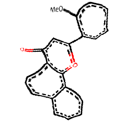 COc1ccccc1-c1cc(=O)c2ccc3ccccc3c2o1